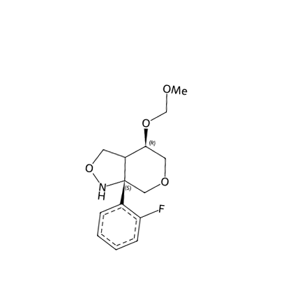 COCO[C@H]1COC[C@]2(c3ccccc3F)NOCC12